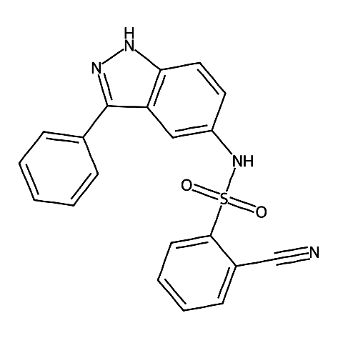 N#Cc1ccccc1S(=O)(=O)Nc1ccc2[nH]nc(-c3ccccc3)c2c1